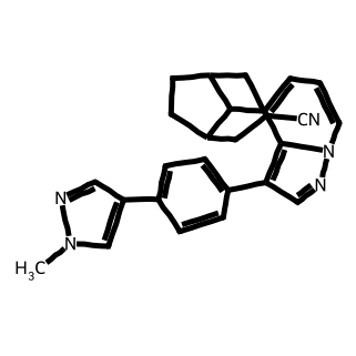 Cn1cc(-c2ccc(-c3cnn4cccc(C5C6CCC5CC(C#N)C6)c34)cc2)cn1